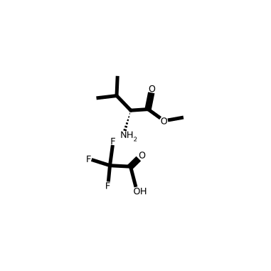 COC(=O)[C@H](N)C(C)C.O=C(O)C(F)(F)F